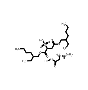 CCC(=O)OS.CCCCC(CC)COC(=O)CC(C(=O)OCC(CC)CCCC)S(=O)(=O)O.[NaH].[SnH2]